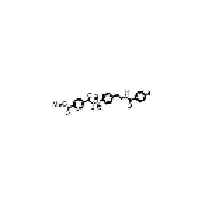 COC(=O)c1ccc(C(=O)NS(=O)(=O)c2ccc(CCNC(=O)c3ccc(F)cc3)cc2)cn1